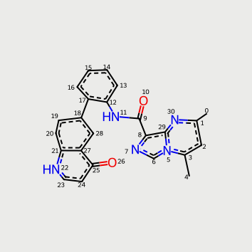 Cc1cc(C)n2cnc(C(=O)Nc3ccccc3-c3ccc4[nH]ccc(=O)c4c3)c2n1